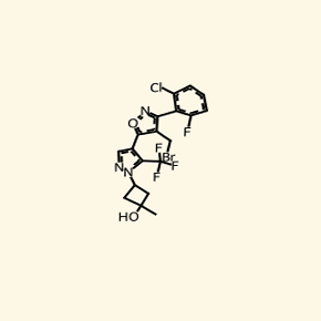 CC1(O)CC(n2ncc(-c3onc(-c4c(F)cccc4Cl)c3CBr)c2C(F)(F)F)C1